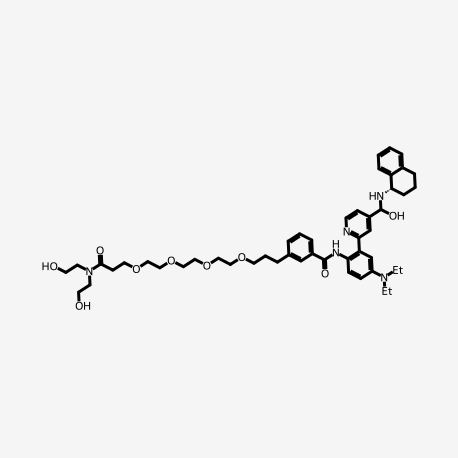 CCN(CC)c1ccc(NC(=O)c2cccc(CCCOCCOCCOCCOCCC(=O)N(CCO)CCO)c2)c(-c2cc(C(O)N[C@H]3CCCc4ccccc43)ccn2)c1